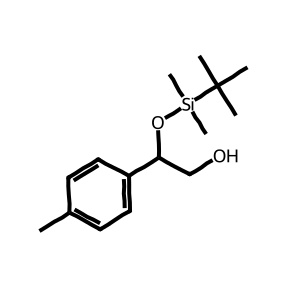 Cc1ccc(C(CO)O[Si](C)(C)C(C)(C)C)cc1